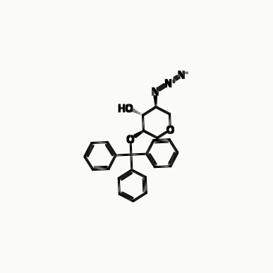 [N-]=[N+]=N[C@H]1COC[C@@H](OC(c2ccccc2)(c2ccccc2)c2ccccc2)[C@@H]1O